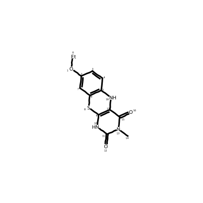 CCOc1ccc2c(c1)Sc1[nH]c(=O)n(C)c(=O)c1N2